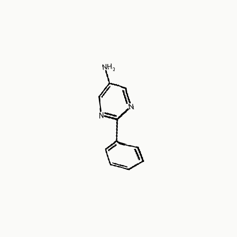 Nc1cnc(-c2ccccc2)nc1